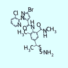 CNC(=O)c1cc(C(C)SSN)cc(C)c1NC(=O)c1cc(Br)nn1-c1ncccc1Cl